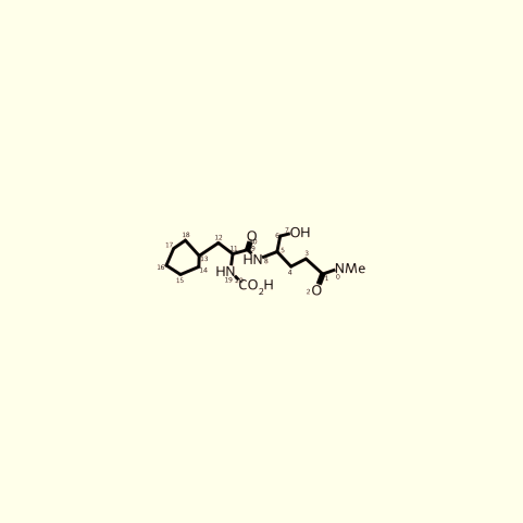 CNC(=O)CCC(CO)NC(=O)C(CC1CCCCC1)NC(=O)O